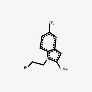 COc1nc2nc(C(F)(F)F)ccc2n1CCC(C)C